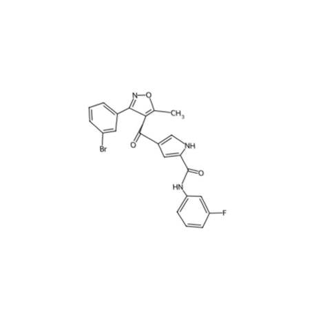 Cc1onc(-c2cccc(Br)c2)c1C(=O)c1c[nH]c(C(=O)Nc2cccc(F)c2)c1